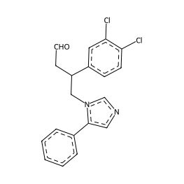 O=CCC(Cn1cncc1-c1ccccc1)c1ccc(Cl)c(Cl)c1